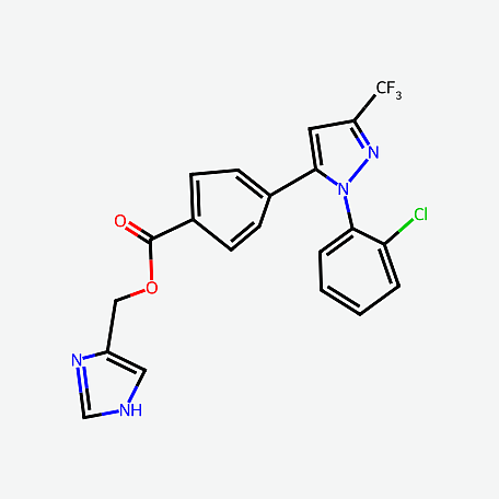 O=C(OCc1c[nH]cn1)c1ccc(-c2cc(C(F)(F)F)nn2-c2ccccc2Cl)cc1